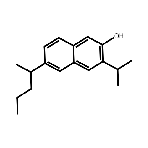 CCCC(C)c1ccc2cc(O)c(C(C)C)cc2c1